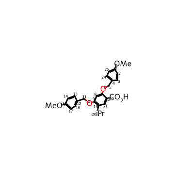 COc1ccc(COc2cc(OCc3ccc(OC)cc3)c(C(C)C)cc2C(=O)O)cc1